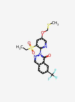 CCS(=O)(=O)c1cc(OCSC)cnc1-n1ncc2ccc(C(F)(F)F)cc2c1=O